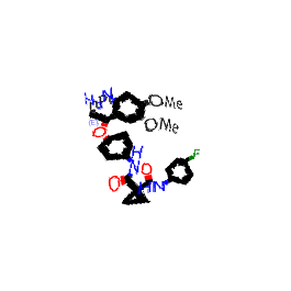 CCC/C=C(/Oc1ccc(NC(=O)C2(C(=O)Nc3ccc(F)cc3)CC2)cc1)c1cc(OC)c(OC)cc1N